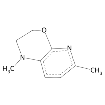 Cc1ccc2c(n1)OCCN2C